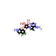 Cc1cn(C2CC(Oc3cc(F)c(F)c4c3CNCC4)C(O)C2O)c2ncnc(N)c12